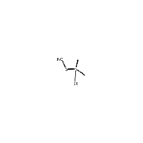 CCS(C)(C)SC#N